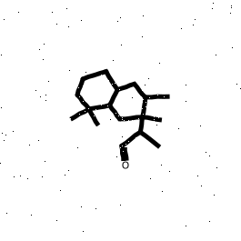 CC(C=O)C1(C)CC2C(CCCC2(C)C)CC1C